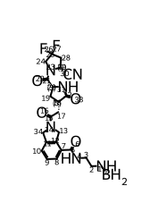 BNCCNC(=O)c1cccc2c1CN(C(=O)C[C@@H]1C[C@@H](C(=O)N3CC(F)(F)C[C@H]3C#N)NC1=O)C2